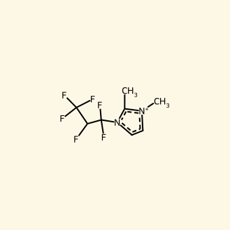 Cc1n(C(F)(F)C(F)C(F)(F)F)cc[n+]1C